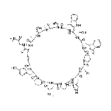 CCCC[C@H]1C(=O)N(C)[C@@H](CCCC)C(=O)N[C@@H](C)C(=O)N[C@H](C(=O)NCC(N)=O)CSCC(=O)N[C@@H](Cc2ccc(O)cc2)C(=O)N2CCCC[C@H]2C(=O)N[C@@H](CC(N)=O)C(=O)N2CCC[C@H]2C(=O)N[C@@H](Cc2c[nH]cn2)C(=O)N[C@@H](CC(C)C)C(=O)N2CCC[C@H]2C(=O)N[C@@H](Cc2c[nH]c3ccccc23)C(=O)N[C@@H](CO)C(=O)N[C@@H](Cc2c[nH]c3ccccc23)C(=O)N1C